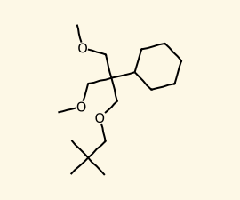 COCC(COC)(COCC(C)(C)C)C1CCCCC1